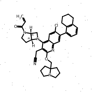 C=CC(=O)N1CC[C@@H]2[C@H]1CN2c1c(CC#N)c(OCC23CCCN2CCC3)nc2cc(-c3cccc4c3CCCC4)c(Cl)cc12